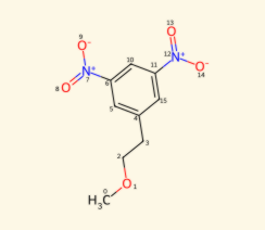 COCCc1cc([N+](=O)[O-])cc([N+](=O)[O-])c1